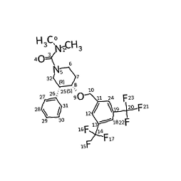 CN(C)C(=O)N1CC[C@H](OCc2cc(C(F)(F)F)cc(C(F)(F)F)c2)[C@H](c2ccccc2)C1